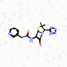 CC1(C)SC2C(NC(=O)Cc3cccnc3)C(=O)N2C1c1nnn[nH]1